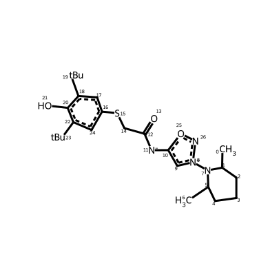 CC1CCCC(C)N1[n+]1cc([N-]C(=O)CSc2cc(C(C)(C)C)c(O)c(C(C)(C)C)c2)on1